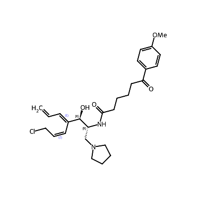 C=C/C=C(\C=C/CCl)[C@@H](O)[C@@H](CN1CCCC1)NC(=O)CCCCC(=O)c1ccc(OC)cc1